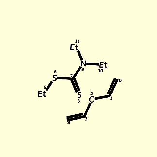 C=COC=C.CCSC(=S)N(CC)CC